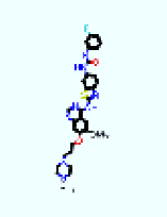 COc1cc2c(Nc3nc4ccc(NC(=O)Nc5cccc(F)c5)cc4s3)ncnc2cc1OCCCN1CCN(C)CC1